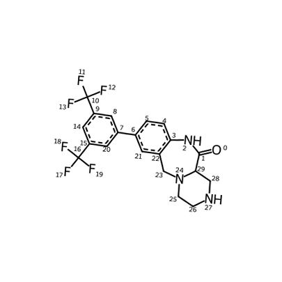 O=C1Nc2ccc(-c3cc(C(F)(F)F)cc(C(F)(F)F)c3)cc2CN2CCNCC12